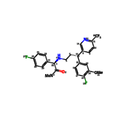 CNC(=O)[C@H](NCC[C@H](c1ccc(C(F)(F)F)nc1)c1ccc(F)c(OC)c1)c1ccc(F)cc1